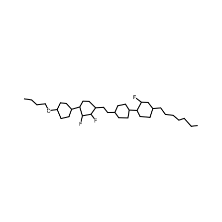 CCCCCCCC1CCC(C2CCC(CCC3CCC(C4CCC(OCCCC)CC4)C(F)C3F)CC2)C(F)C1